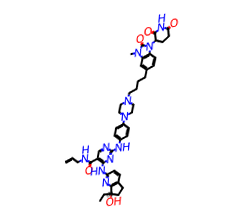 C=CCNC(=O)c1cnc(Nc2ccc(N3CCN(CCCCc4ccc5c(c4)n(C)c(=O)n5C4CCC(=O)NC4=O)CC3)cc2)nc1Nc1ccc2c(n1)[C@@](O)(CC)CC2